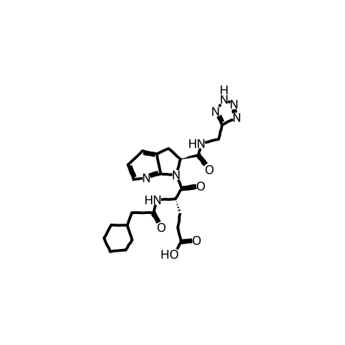 O=C(O)CC[C@H](NC(=O)CC1CCCCC1)C(=O)N1c2ncccc2C[C@H]1C(=O)NCc1nn[nH]n1